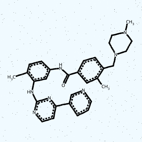 Cc1cc(C(=O)Nc2ccc(C)c(Nc3nccc(-c4cccnc4)n3)c2)ccc1CN1CCN(C)CC1